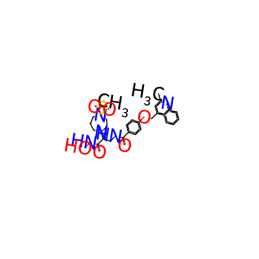 Cc1cc(COc2ccc(C(=O)NCC(C(=O)NO)N3CCCN(S(C)(=O)=O)CC3)cc2)c2ccccc2n1